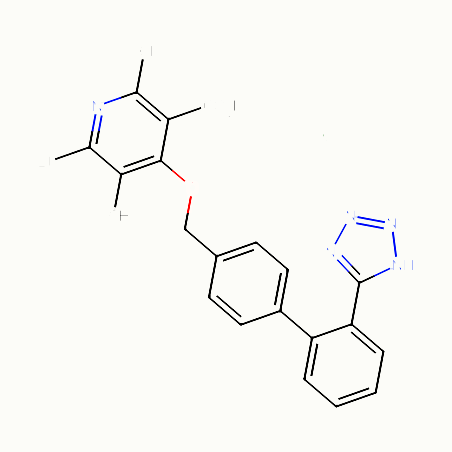 CCc1nc(C)c(C(=O)O)c(OCc2ccc(-c3ccccc3-c3nnn[nH]3)cc2)c1C.Cl